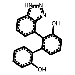 Oc1ccccc1-c1cccc(O)c1-c1cccc2[nH]nnc12